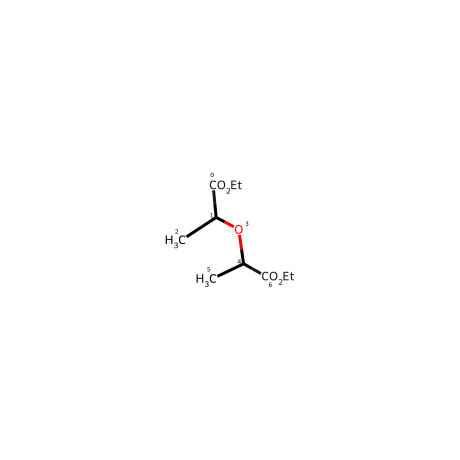 CCOC(=O)C(C)OC(C)C(=O)OCC